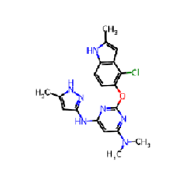 Cc1cc(Nc2cc(N(C)C)nc(Oc3ccc4[nH]c(C)cc4c3Cl)n2)n[nH]1